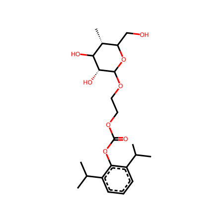 CC(C)c1cccc(C(C)C)c1OC(=O)OCCOC1OC(CO)[C@@H](C)C(O)[C@H]1O